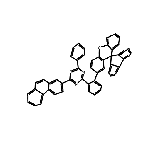 c1ccc(-c2nc(-c3ccc4c(ccc5ccccc54)c3)nc(-c3ccccc3-c3ccc4c(c3)C3(c5ccccc5O4)c4ccccc4-c4ccccc43)n2)cc1